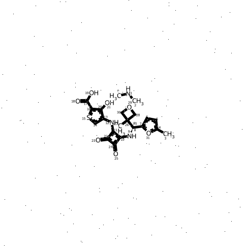 CNC.Cc1ccc([C@H](Nc2c(Nc3csc(C(=O)O)c3O)c(=O)c2=O)C2(C)COC2)o1